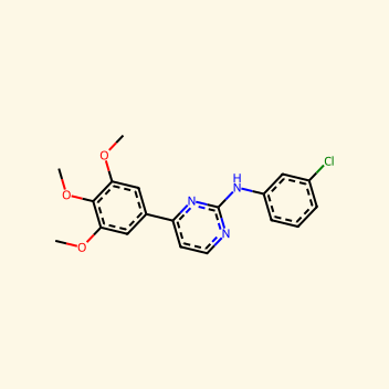 COc1cc(-c2ccnc(Nc3cccc(Cl)c3)n2)cc(OC)c1OC